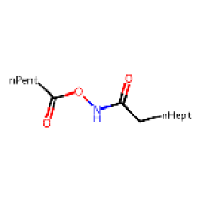 CCCCCCCCC(=O)NOC(=O)CCCCC